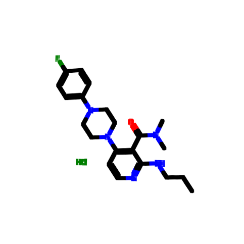 CCCNc1nccc(N2CCN(c3ccc(F)cc3)CC2)c1C(=O)N(C)C.Cl